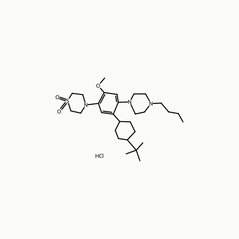 CCCCN1CCN(c2cc(OC)c(N3CCS(=O)(=O)CC3)cc2C2CCC(C(C)(C)C)CC2)CC1.Cl